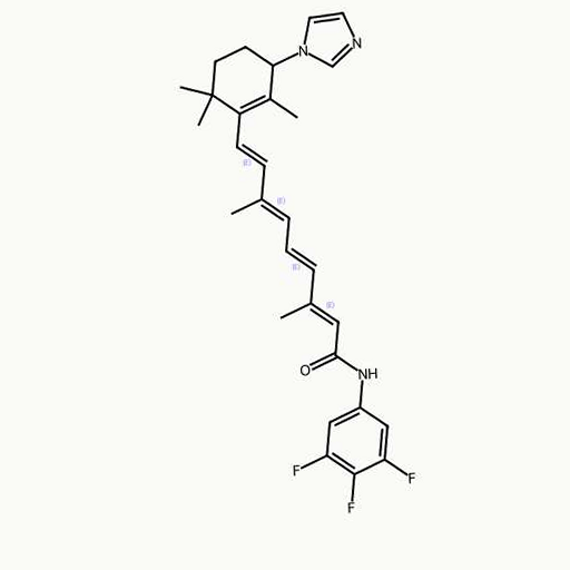 CC1=C(/C=C/C(C)=C/C=C/C(C)=C/C(=O)Nc2cc(F)c(F)c(F)c2)C(C)(C)CCC1n1ccnc1